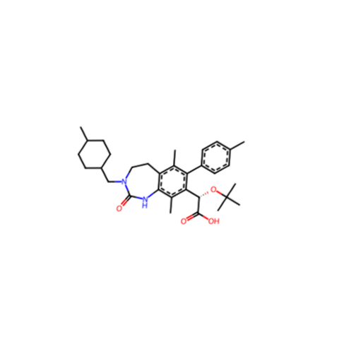 Cc1ccc(-c2c(C)c3c(c(C)c2[C@H](OC(C)(C)C)C(=O)O)NC(=O)N(CC2CCC(C)CC2)CC3)cc1